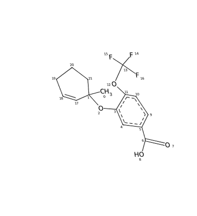 CC1(Oc2cc(C(=O)O)ccc2OC(F)(F)F)C=CCCC1